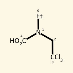 CCN(CC(Cl)(Cl)Cl)C(=O)O